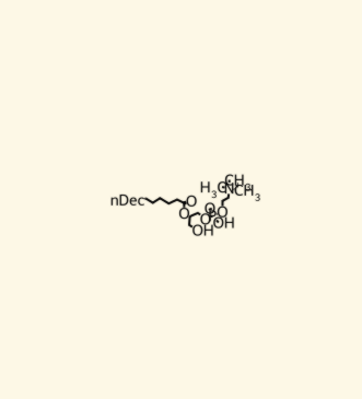 CCCCCCCCCCCCCCCC(=O)OC(CO)COP(=O)(O)OCC[N+](C)(C)C